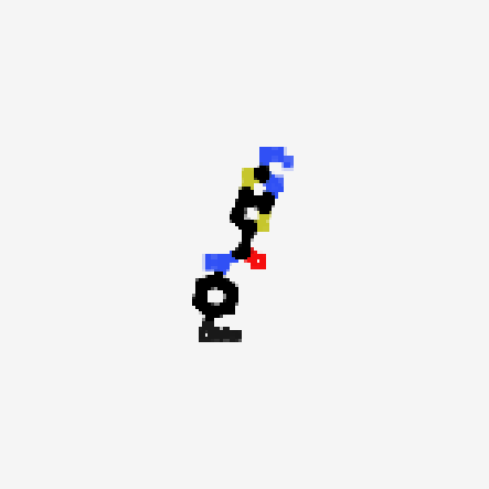 COc1ccc(NC(=O)c2cc3sc(N)nc3s2)cc1